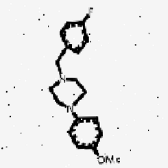 COc1ccc(N2CCN(Cc3ccc(F)cc3)CC2)cc1